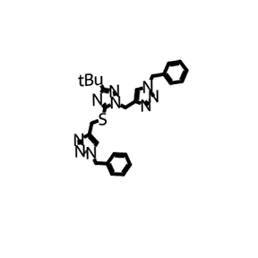 CC(C)(C)c1nc(SCc2cn(Cc3ccccc3)nn2)n(Cc2cn(Cc3ccccc3)nn2)n1